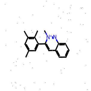 Cc1cc(C)c(C)c(-c2cc3ccccc3n[n+]2C)c1